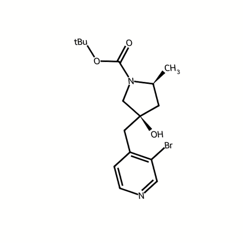 C[C@H]1C[C@](O)(Cc2ccncc2Br)CN1C(=O)OC(C)(C)C